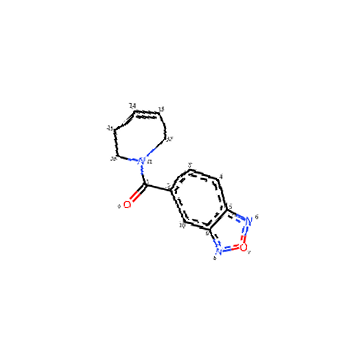 O=C(c1ccc2nonc2c1)N1CC=CCC1